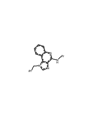 CC(C)Cn1cnc2c(NC(C)C)nc3ccccc3c21